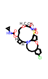 CC1(C)OC/C=C/[C@H](OC(=O)NC2CC2)[C@@H]2CC[C@H]2CN2CCCCc3cc(Cl)ccc3COc3ccc(cc32)S(=O)(=O)NC1=O